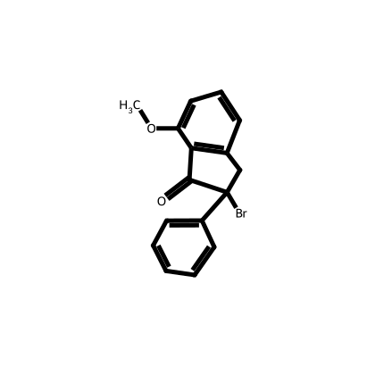 COc1cccc2c1C(=O)C(Br)(c1ccccc1)C2